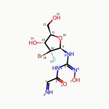 N=CC(=O)N/C(=N\O)N[C@@H]1O[C@H](CO)[C@@H](O)[C@]1(F)Br